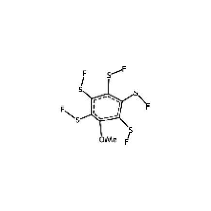 COc1c(SF)c(SF)c(SF)c(SF)c1SF